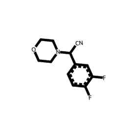 N#CC(c1ccc(F)c(F)c1)N1CCOCC1